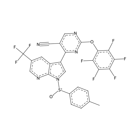 Cc1ccc([S+]([O-])n2cc(-c3nc(Oc4c(F)c(F)c(F)c(F)c4F)ncc3C#N)c3cc(C(F)(F)F)cnc32)cc1